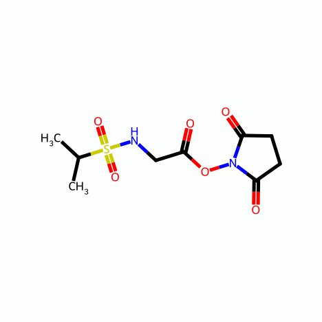 CC(C)S(=O)(=O)NCC(=O)ON1C(=O)CCC1=O